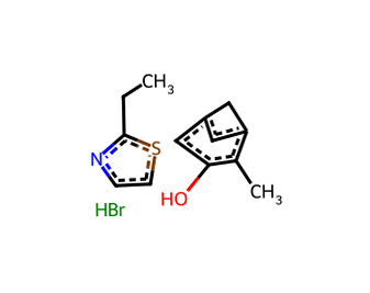 Br.CCc1nccs1.Cc1c(O)cc2cc1C2